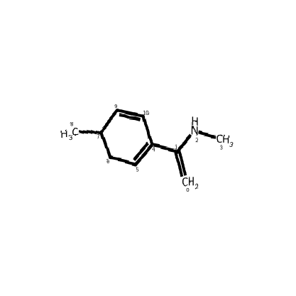 C=C(NC)C1=CCC(C)C=C1